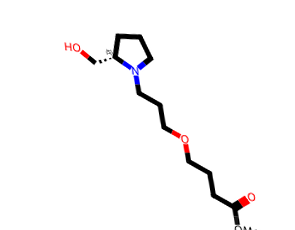 COC(=O)CCCOCCCN1CCC[C@H]1CO